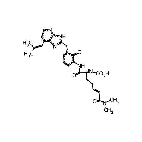 CC(C)=Cc1ccnc2[nH]c(Cn3cccc(NC(=O)[C@H](CC/C=C/C(=O)N(C)C)NC(=O)O)c3=O)nc12